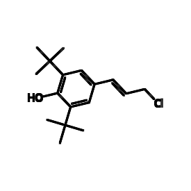 CC(C)(C)c1cc(C=CCCl)cc(C(C)(C)C)c1O